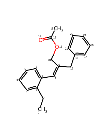 CCc1ccccc1/C=C(\COC(C)=O)Cc1ccccc1